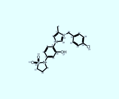 Cc1cn(-c2ccc(N3CCCS3(=O)=O)cc2O)c[n+]1Cc1ccc(Cl)cc1